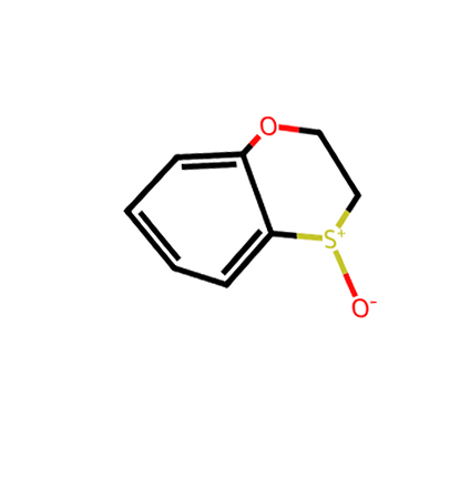 [O-][S+]1CCOc2ccccc21